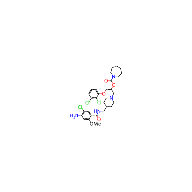 COc1cc(N)c(Cl)cc1C(=O)NCC1CCN(CC(COc2cccc(Cl)c2Cl)OC(=O)N2CCCCCC2)CC1